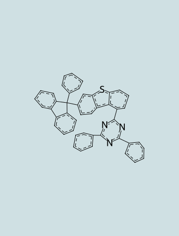 c1ccc(-c2nc(-c3ccccc3)nc(-c3cccc4sc5cc(C6(c7ccccc7)c7ccccc7-c7ccccc76)ccc5c34)n2)cc1